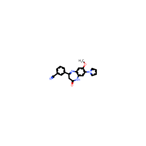 COc1cc2c(cc1-n1cccc1)NC(=O)CC(c1cccc(C#N)c1)=N2